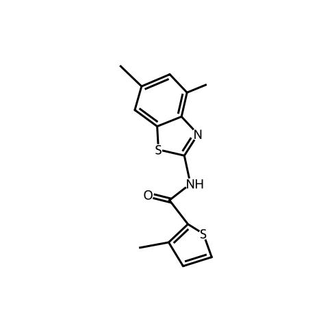 Cc1cc(C)c2nc(NC(=O)c3sccc3C)sc2c1